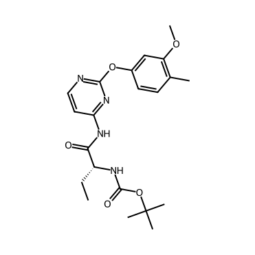 CC[C@@H](NC(=O)OC(C)(C)C)C(=O)Nc1ccnc(Oc2ccc(C)c(OC)c2)n1